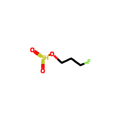 O=[SH](=O)OCCCF